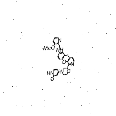 COc1cccnc1CNc1ccc2c(c1)Cc1ccnc(C3CN(c4cc[nH]c(=O)c4)CCO3)c1O2